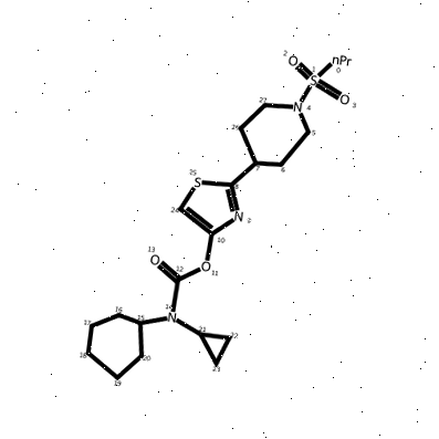 CCCS(=O)(=O)N1CCC(c2nc(OC(=O)N(C3CCCCC3)C3CC3)cs2)CC1